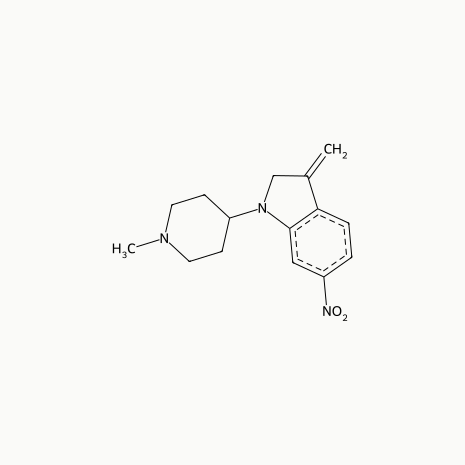 C=C1CN(C2CCN(C)CC2)c2cc([N+](=O)[O-])ccc21